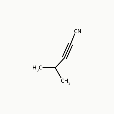 CC(C)C#CC#N